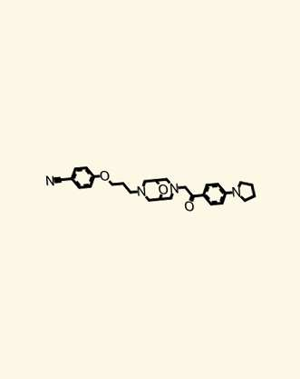 N#Cc1ccc(OCCCN2CC3CN(CC(=O)c4ccc(N5CCCC5)cc4)CC(C2)O3)cc1